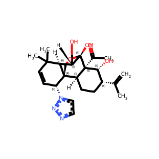 C=C(C)[C@@H]1CC[C@H]2[C@@]34CO[C@@](O)([C@@H](O)[C@@H]3C(C)(C)C=C[C@H]4n3ccnn3)[C@@]2(C(C)=O)[C@@H]1O